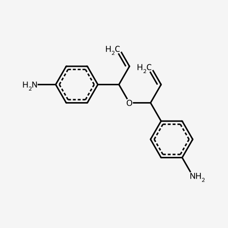 C=CC(OC(C=C)c1ccc(N)cc1)c1ccc(N)cc1